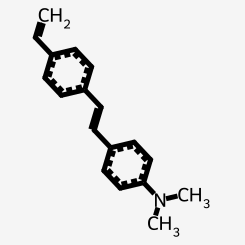 C=Cc1ccc(C=Cc2ccc(N(C)C)cc2)cc1